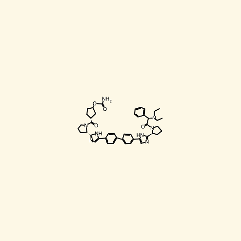 CCN(CC)[C@@H](C(=O)N1CCC[C@H]1c1ncc(-c2ccc(-c3ccc(-c4cnc([C@@H]5CCCN5C(=O)[C@H]5CC[C@@H](OC(N)=O)C5)[nH]4)cc3)cc2)[nH]1)c1ccccc1